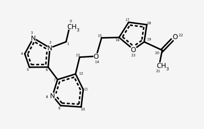 CCn1nccc1-c1ncccc1COCc1ccc(C(C)=O)o1